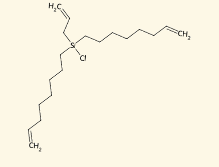 C=CCCCCCC[Si](Cl)(CC=C)CCCCCCC=C